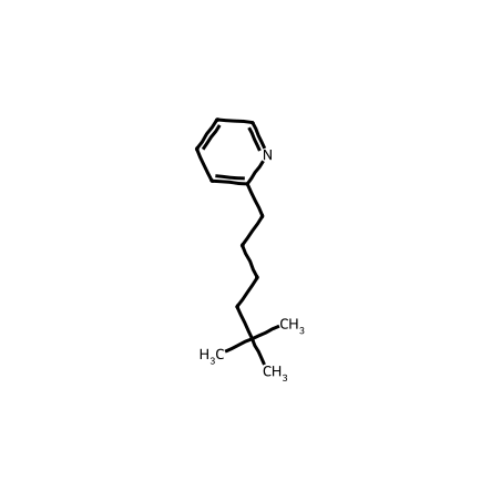 CC(C)(C)CCCCc1ccccn1